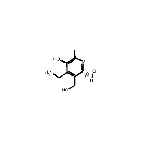 Cc1ncc(CO)c(CN)c1O.ClCl.O